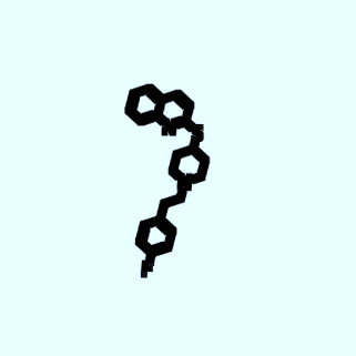 Fc1ccc(CCN2CCC(Sc3ccc4ccccc4n3)CC2)cc1